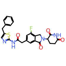 O=C1CCC(N2Cc3c(F)cc(CC(=O)Nc4ncc(Cc5ccccc5)s4)cc3C2=O)C(=O)N1